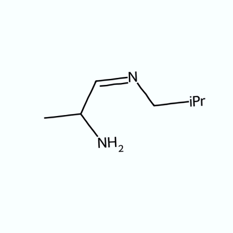 CC(N)/C=N\CC(C)C